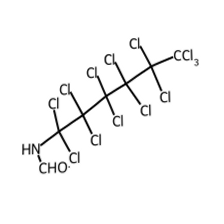 O=[C]NC(Cl)(Cl)C(Cl)(Cl)C(Cl)(Cl)C(Cl)(Cl)C(Cl)(Cl)C(Cl)(Cl)Cl